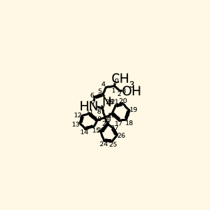 CC(CO)Cc1c[nH]c(C(c2ccccc2)(c2ccccc2)c2ccccc2)n1